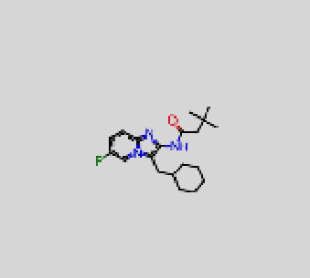 CC(C)(C)CC(=O)Nc1nc2ccc(F)cn2c1CC1CCCCC1